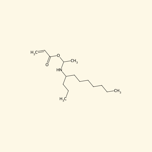 C=CC(=O)OC(C)NC(CCC)CCCCCCC